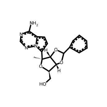 C[C@@]1(c2ccc3c(N)ncnn23)O[C@H](CO)[C@H]2OC(c3ccccc3)O[C@H]21